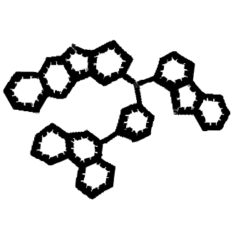 c1cc(-c2cc3ccccc3c3ccccc23)cc(N(c2ccc3sc4cc5ccccc5cc4c3c2)c2cccc3c2sc2ccccc23)c1